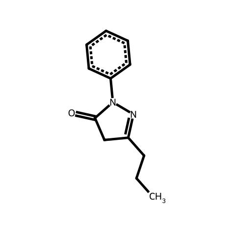 CCCC1=NN(c2ccccc2)C(=O)C1